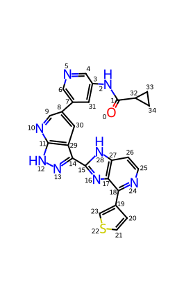 O=C(Nc1cncc(-c2cnc3[nH]nc(-c4nc5c(-c6ccsc6)nccc5[nH]4)c3c2)c1)C1CC1